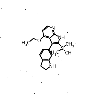 CCOc1ccnc2[nH]c([Si](C)(C)C)c(-c3ccc4c(c3)NCC4)c12